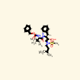 CC(C)CCN(C[C@@H](O)[C@H](Cc1ccccc1)NC(=O)[C@@H](NC(=O)OCc1ccccc1)C(C)(C)C)S(C)(=O)=O